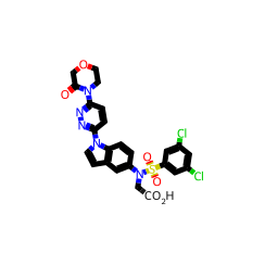 O=C(O)CN(c1ccc2c(ccn2-c2ccc(N3CCOCC3=O)nn2)c1)S(=O)(=O)c1cc(Cl)cc(Cl)c1